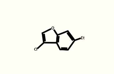 CCc1ccc2c(Cl)coc2c1